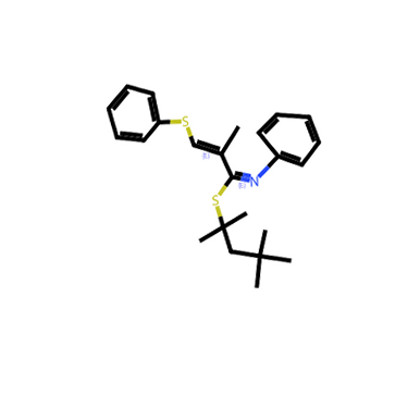 CC(=C\Sc1ccccc1)/C(=N\c1ccccc1)SC(C)(C)CC(C)(C)C